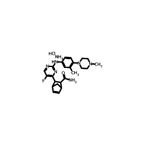 Cc1cc(Nc2ncc(F)c(C3C4C=CC(C4)C3C(N)=O)n2)ccc1N1CCN(C)CC1.Cl.N